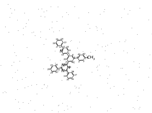 Cc1ccc(-c2cc(-c3ccc(-c4ccccc4)nc3)cc(-c3nc(-c4ccccc4)nc(-c4ccccc4)n3)c2)cc1